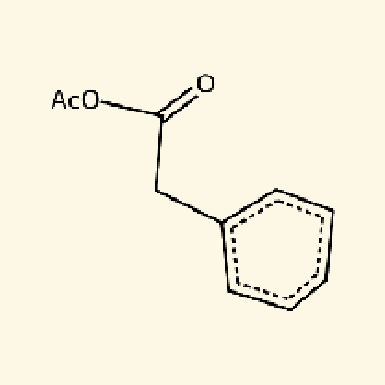 [CH2]C(=O)OC(=O)Cc1ccccc1